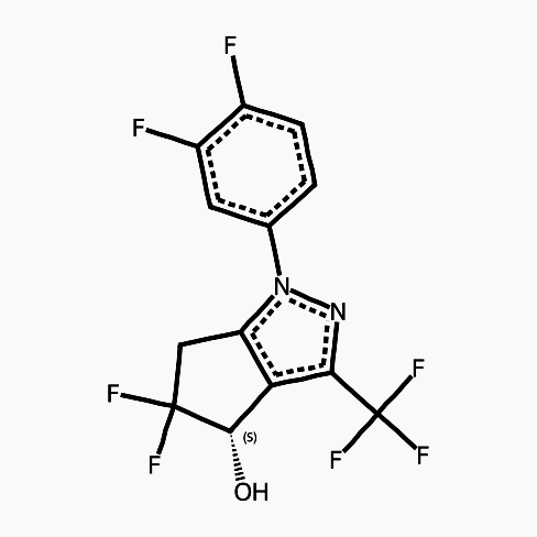 O[C@H]1c2c(C(F)(F)F)nn(-c3ccc(F)c(F)c3)c2CC1(F)F